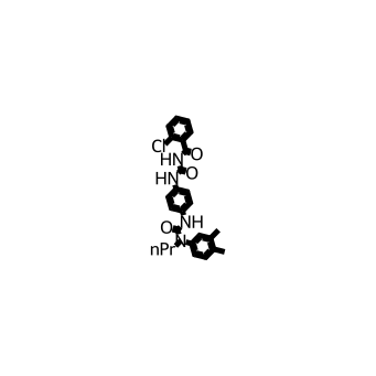 CCCN(C(=O)Nc1ccc(NC(=O)NC(=O)c2ccccc2Cl)cc1)c1ccc(C)c(C)c1